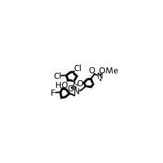 CON(C)C(=O)c1ccc(CN(Cc2ccc(F)cc2)S(=O)(=O)c2cc(Cl)cc(Cl)c2O)cc1